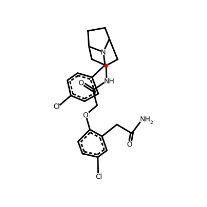 NC(=O)Cc1cc(Cl)ccc1OCC(=O)NC1CC2CCC(C1)N2Cc1ccc(Cl)cc1